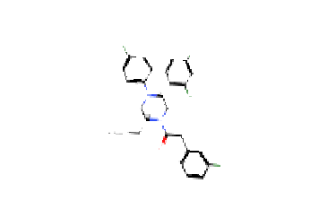 COC[C@H]1CN(c2ccc(Cl)cc2)[C@@H](c2ccc(Cl)cc2Cl)CN1C(=O)Cc1cccc(Cl)c1